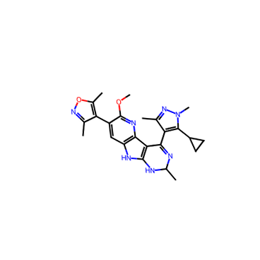 COc1nc2c3c([nH]c2cc1-c1c(C)noc1C)NC(C)N=C3c1c(C)nn(C)c1C1CC1